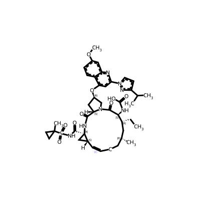 CC[C@@H]1C[C@H](C)CC/C=C\[C@@H]2C[C@@]2(C(=O)NS(=O)(=O)C2(C)CC2)NC(=O)[C@@H]2C[C@@H](Oc3cc(-n4ccc(C(C)C)n4)nc4cc(OC)ccc34)CN2C(=O)[C@H]1NC(=O)O